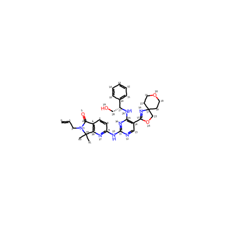 C=CCN1C(=O)c2ccc(Nc3ncc(C4=NC5(CCOCC5)CO4)c(N[C@H](CO)c4ccccc4)n3)nc2C1(C)C